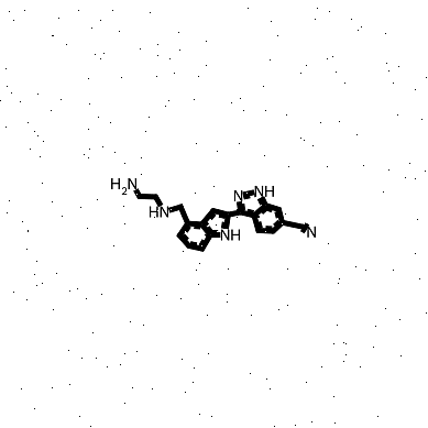 N#Cc1ccc2c(-c3cc4c(CNCCN)cccc4[nH]3)n[nH]c2c1